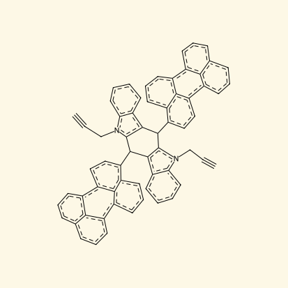 C#CCn1c2c(c3ccccc31)C(c1ccc3c4cccc5cccc(c6cccc1c63)c54)c1c(c3ccccc3n1CC#C)C2c1ccc2c3cccc4cccc(c5cccc1c52)c43